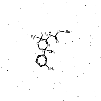 CC(C)(C)OC(=O)NC1=N[C@](C)(c2cccc(N)c2)CO[C@@]1(C)C(F)(F)F